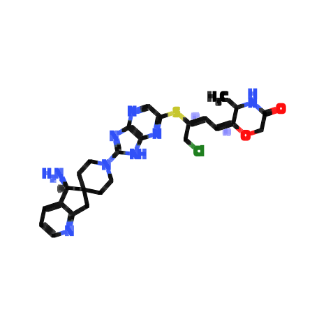 CC1NC(=O)CO/C1=C/C=C(\CCl)Sc1cnc2nc(N3CCC4(CC3)Cc3ncccc3[C@H]4N)[nH]c2n1